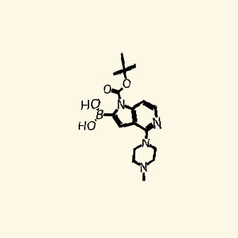 CN1CCN(c2nccc3c2cc(B(O)O)n3C(=O)OC(C)(C)C)CC1